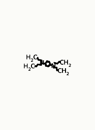 C=CCCN(CCC=C)c1ccc(N(CCC=C)CCC=C)cc1